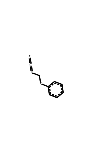 S=C=NCSc1ccccc1